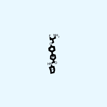 NCC(=CF)COc1ccc(C23CCC(C(=O)NC4CC5CCC(C4)O5)(CC2)CC3)cc1